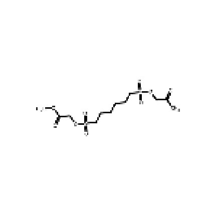 COC(=O)COS(=O)(=O)CCCCCCS(=O)(=O)OCC(C)=O